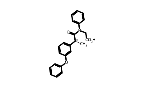 C[C@@H](C(=O)N(CC(=O)O)c1ccccc1)c1cccc(Oc2ccccc2)c1